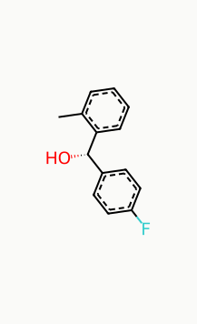 Cc1ccccc1[C@@H](O)c1ccc(F)cc1